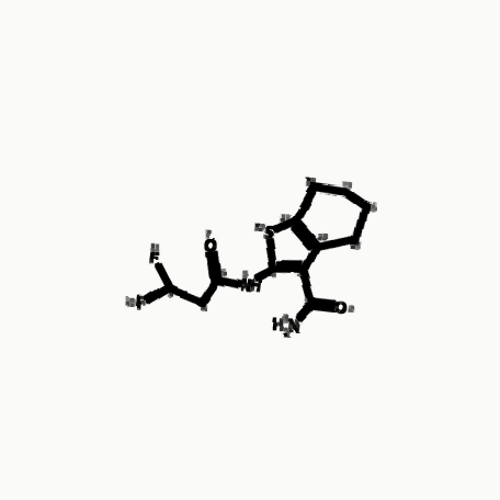 NC(=O)c1c(NC(=O)CC(F)F)sc2c1CCCC2